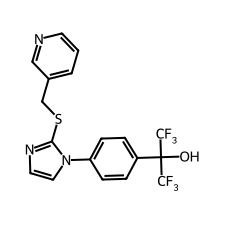 OC(c1ccc(-n2ccnc2SCc2cccnc2)cc1)(C(F)(F)F)C(F)(F)F